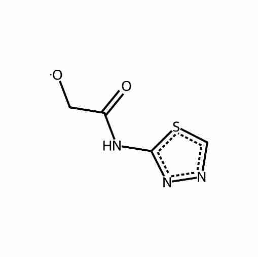 [O]CC(=O)Nc1nncs1